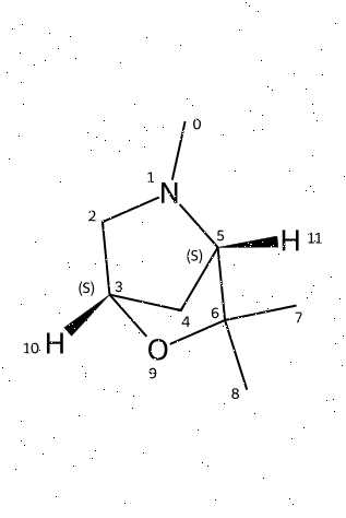 CN1C[C@@H]2C[C@H]1C(C)(C)O2